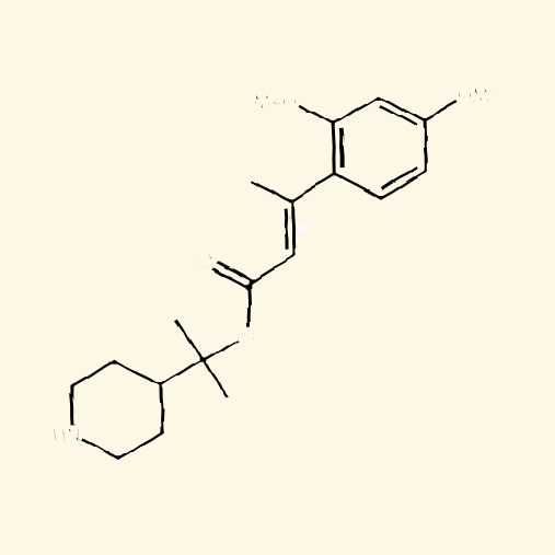 COc1ccc(/C(C)=C/C(=O)OC(C)(C)C2CCNCC2)c(OC)c1